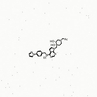 CCN(Cc1ccc(-n2cccn2)cc1)c1ncnc2c1ccn2C[C@]1(O)CCN(CC(C)=O)C[C@H]1O